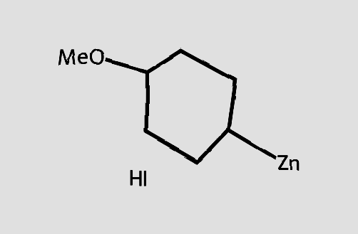 COC1CC[CH]([Zn])CC1.I